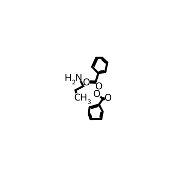 CCCN.O=C(OOC(=O)c1ccccc1)c1ccccc1